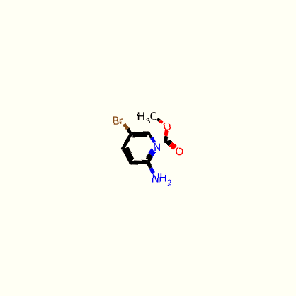 COC=O.Nc1ccc(Br)cn1